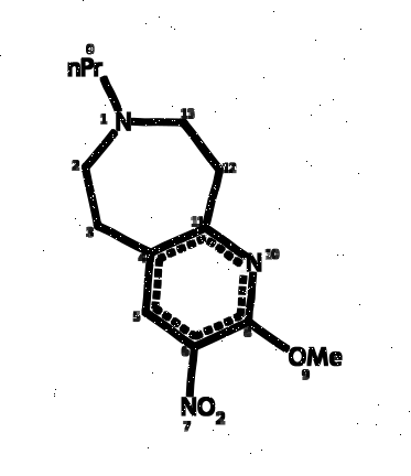 CCCN1CCc2cc([N+](=O)[O-])c(OC)nc2CC1